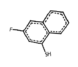 Fc1cc(S)c2ccccc2c1